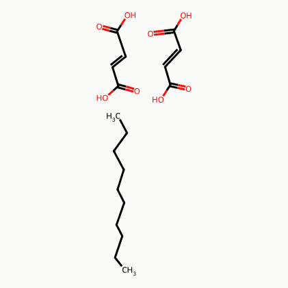 CCCCCCCCCC.O=C(O)/C=C/C(=O)O.O=C(O)/C=C/C(=O)O